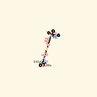 CCOC(=O)C1=C(COCCNC(=O)OCCSSCCOC(=O)C[C@H](O)C[C@H](O)CCn2c(-c3ccc(F)cc3)c(-c3ccccc3)c(C(=O)Nc3ccccc3)c2C(C)C)NC(C)=C(C(=O)OC)C1c1ccccc1Cl